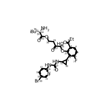 CCC(=O)c1ccc(F)c(C2CC2NC(=O)Nc2ccc(Br)cn2)c1OC(O)C(=O)CCOC(=O)[C@@H](N)[C@@H](C)CC